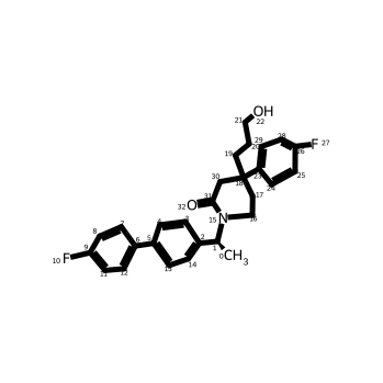 C[C@@H](c1ccc(-c2ccc(F)cc2)cc1)N1CCC(CCCO)(c2ccc(F)cc2)CC1=O